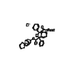 CCCCCC(=O)OC(OC(C(=O)OC1CC2CCC(C1)[N+]21CCCC1)(c1ccccc1)c1ccccc1)c1ccccc1.[Cl-]